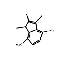 COc1[c]cc(OC)c2c1C(C)=C(C)C2C